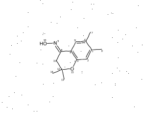 Cc1cc2c(cc1C)C(=NO)CC(C)(C)O2